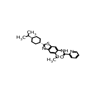 COc1cc2nc([C@H]3CC[C@H](C(C)C)CC3)sc2cc1NC(=O)c1ccccn1